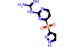 N=C(N)Nc1nccc(S(=O)(=O)c2cc[nH]n2)n1